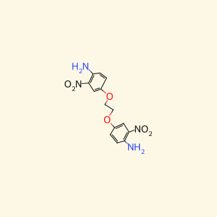 Nc1ccc(OCCOc2ccc(N)c([N+](=O)[O-])c2)cc1[N+](=O)[O-]